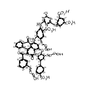 O=C(O)c1cc(Nc2nc(Cl)nc(Nc3cc(Nc4cc(Oc5ccc(-c6ccc(S(=O)(=O)O)cc6)cc5SOOO)c5[nH]c(=O)c(C(=O)c6cccc(SOOO)c6)c6c5c4C(=O)c4ccccc4-6)c(SOOO)cc3S(=O)(=O)O)n2)cc(C(=O)O)c1